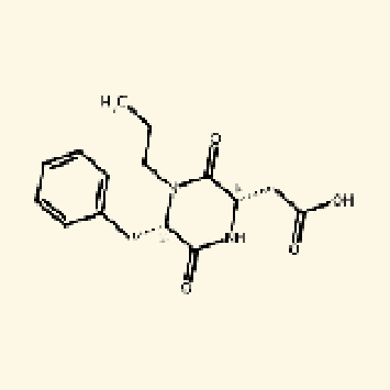 CCCN1C(=O)[C@H](CC(=O)O)NC(=O)[C@@H]1Cc1ccccc1